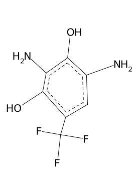 Nc1cc(C(F)(F)F)c(O)c(N)c1O